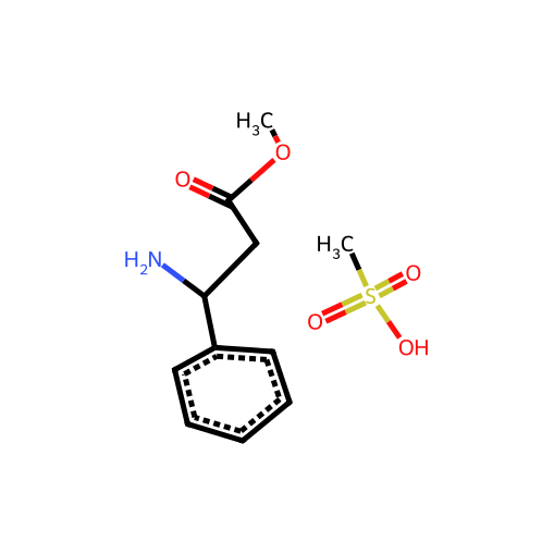 COC(=O)CC(N)c1ccccc1.CS(=O)(=O)O